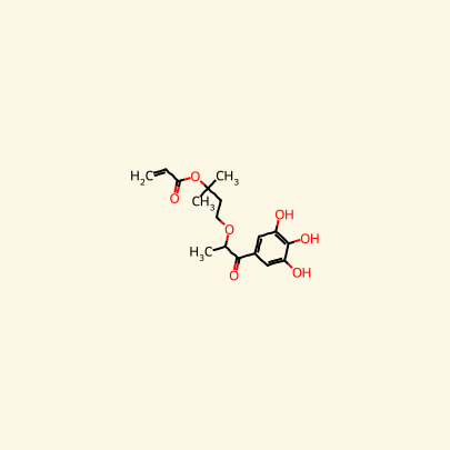 C=CC(=O)OC(C)(C)CCOC(C)C(=O)c1cc(O)c(O)c(O)c1